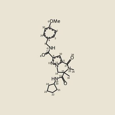 COc1ccc(CNC(=O)c2cc3n(n2)CC(C)(C(=O)NC2CCCC2)N(C)C3=O)cc1